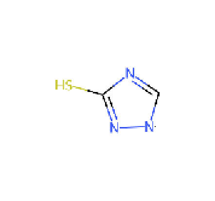 SC1=N[N]C=N1